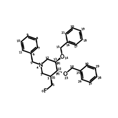 FC[C@H]1CN(Cc2ccccc2)C[C@@H](OCc2ccccc2)[C@@H]1OCc1ccccc1